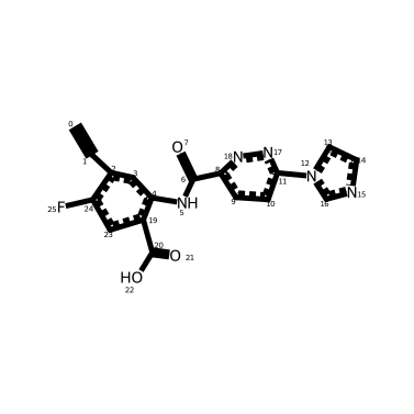 C#Cc1cc(NC(=O)c2ccc(-n3ccnc3)nn2)c(C(=O)O)cc1F